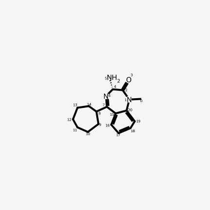 CN1C(=O)[C@@H](N)N=C(C2CCCCCC2)c2ccccc21